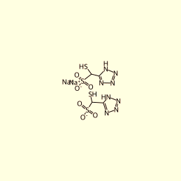 O=S(=O)([O-])C(S)c1nnn[nH]1.O=S(=O)([O-])C(S)c1nnn[nH]1.[Na+].[Na+]